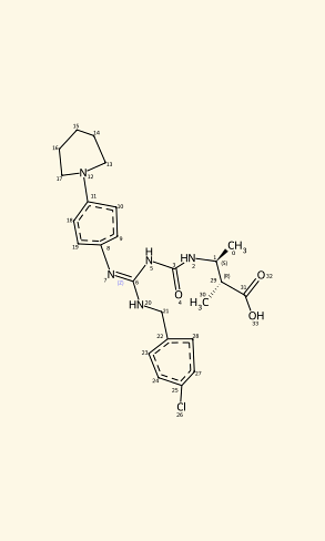 C[C@H](NC(=O)N/C(=N\c1ccc(N2CCCCC2)cc1)NCc1ccc(Cl)cc1)[C@@H](C)C(=O)O